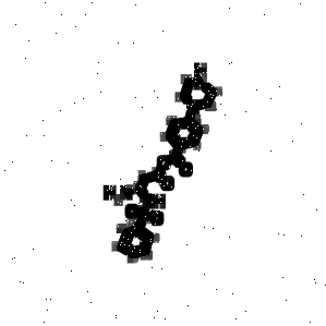 N[C@H](CC(=O)OC(=O)c1ccc(N2CCNCC2)cc1)NS(=O)(=O)c1ccccc1